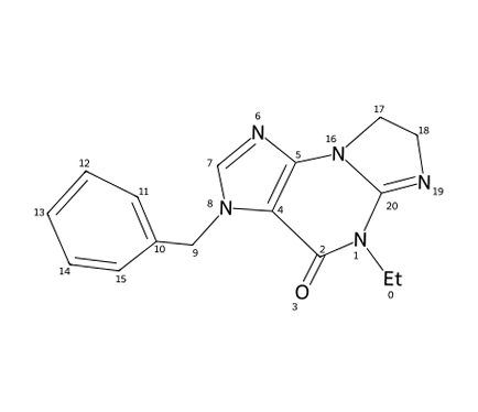 CCN1C(=O)c2c(ncn2Cc2ccccc2)N2CCN=C12